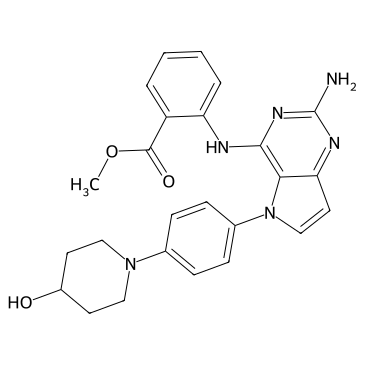 COC(=O)c1ccccc1Nc1nc(N)nc2ccn(-c3ccc(N4CCC(O)CC4)cc3)c12